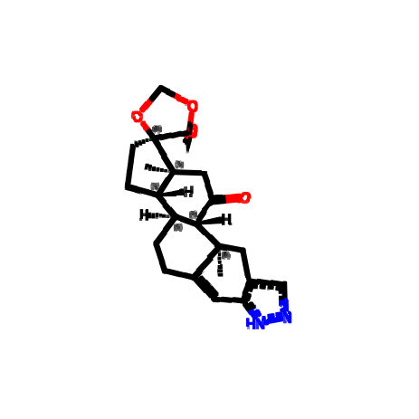 C[C@]12Cc3cn[nH]c3C=C1CC[C@@H]1[C@@H]2C(=O)C[C@@]2(C)[C@H]1CC[C@@]21OCOC12COCO2